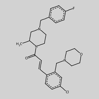 CC1CN(Cc2ccc(F)cc2)CCN1C(=O)C=Cc1ccc(Cl)cc1CN1CCOCC1